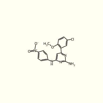 COc1ccc(Cl)cc1-c1cc(Nc2ccc([N+](=O)[O-])cc2)nc(N)n1